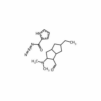 CCC1CC2CC(N(C)C)C(C=O)C2C1.[N-]=[N+]=NC(=O)c1ccc[nH]1